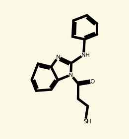 O=C(CCS)n1c(Nc2ccccc2)nc2ccccc21